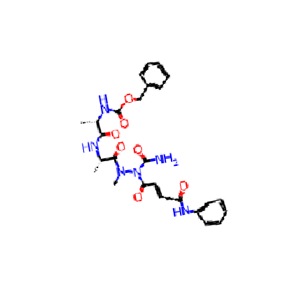 C[C@H](NC(=O)OCc1ccccc1)C(=O)N[C@@H](C)C(=O)N(C)N(C(N)=O)C(=O)/C=C/C(=O)Nc1ccccc1